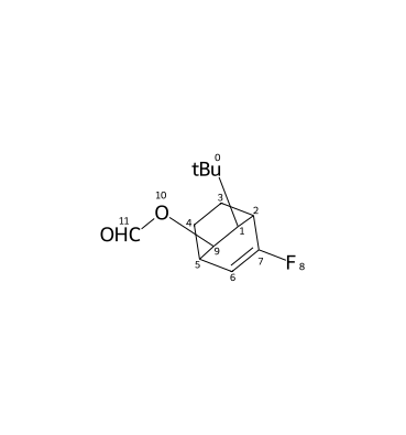 CC(C)(C)C1C2CCC(C=C2F)C1OC=O